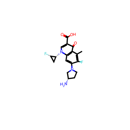 Cc1c(F)c(N2CC[C@H](N)C2)cc2c1c(=O)c(C(=O)O)cn2[C@@H]1C[C@@H]1F